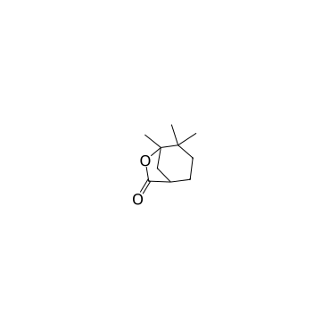 CC1(C)CCC2CC1(C)OC2=O